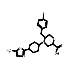 Cc1cnc(C2CCC(N3CC(C(=O)O)OCC3Cc3ccc(Br)cc3)CC2)o1